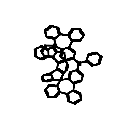 c1ccc(N(c2ccc3c(c2)-c2ccccc2-c2ccccc2N3c2ccccc2)c2ccc3c(c2)C2(c4ccccc4-c4ccccc4-3)c3ccccc3-c3c2ccc2c3-c3ccccc3C2)cc1